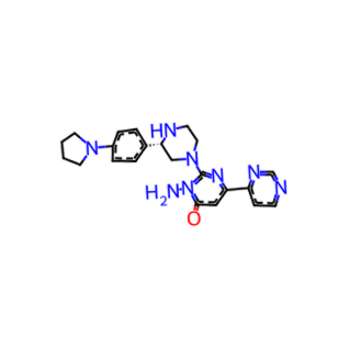 Nn1c(N2CCN[C@@H](c3ccc(N4CCCC4)cc3)C2)nc(-c2ccncn2)cc1=O